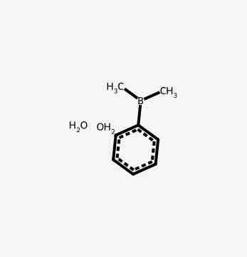 CB(C)c1ccccc1.O.O